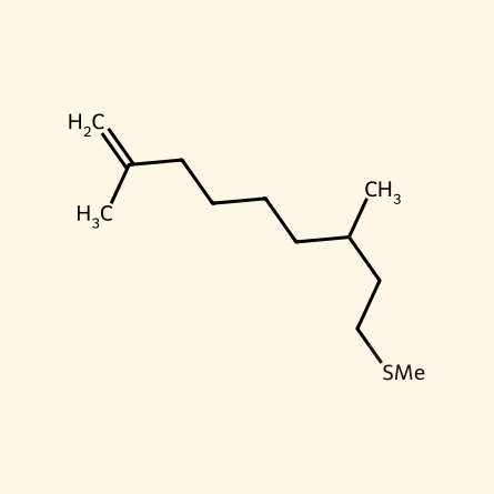 C=C(C)CCCCC(C)CCSC